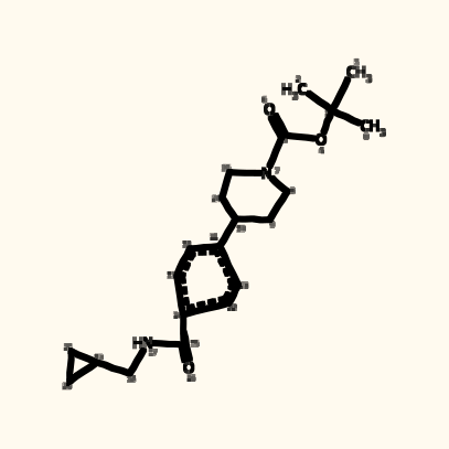 CC(C)(C)OC(=O)N1CCC(c2ccc(C(=O)NCC3CC3)cc2)CC1